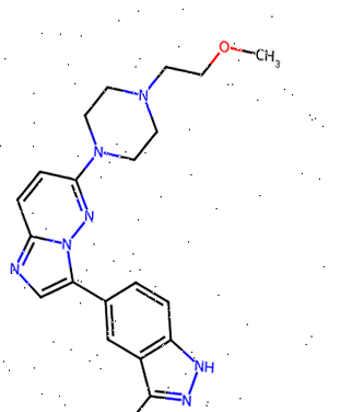 COCCN1CCN(c2ccc3ncc(-c4ccc5[nH]nc(C)c5c4)n3n2)CC1